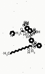 CCCCCCCCCCCC(O)CC(C)N(c1ccc(N=Nc2c(S(=O)(=O)O)cc3cc(S(=O)(=O)O)cc(NC(C)=O)c3c2O)cc1)S(=O)(=O)c1ccccc1.c1ccncc1